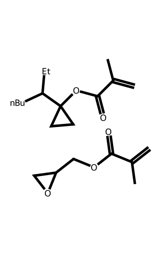 C=C(C)C(=O)OC1(C(CC)CCCC)CC1.C=C(C)C(=O)OCC1CO1